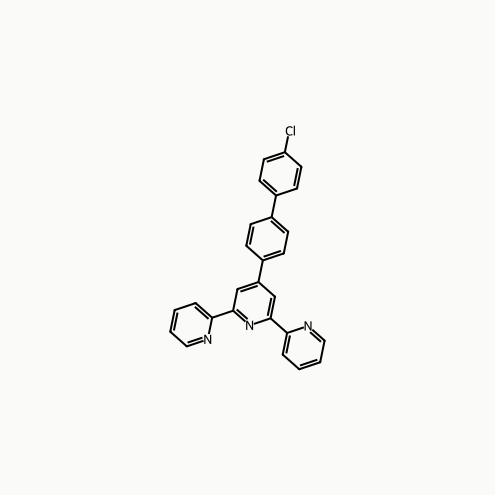 Clc1ccc(-c2ccc(-c3cc(-c4ccccn4)nc(-c4ccccn4)c3)cc2)cc1